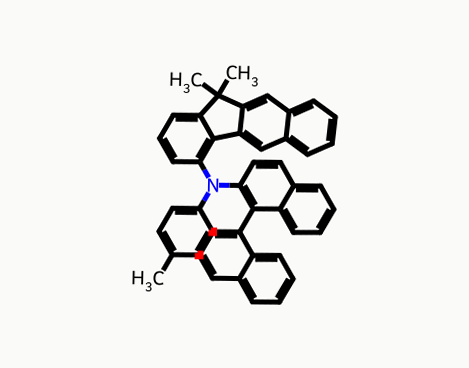 Cc1ccc(N(c2cccc3c2-c2cc4ccccc4cc2C3(C)C)c2ccc3ccccc3c2-c2cccc3ccccc23)cc1